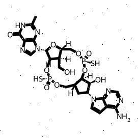 Cc1nc2c(ncn2[C@@H]2O[C@@H]3CO[P@@](=O)(S)O[C@@H]4[C@@H](CO[P@](=O)(S)O[C@@H]2[C@@H]3CO)C[C@@H](n2ccc3c(N)ncnc32)[C@@H]4O)c(=O)[nH]1